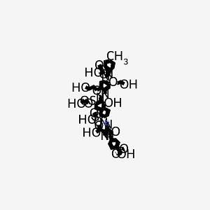 Cc1ccc(N=Nc2cc(OCCO)c(N=Nc3c(SOOO)cc4c(S(=O)(=O)O)c(/N=N/C5C(=O)N(c6ccc(S(=O)(=O)O)cc6)N=C5C(=O)O)ccc4c3O)cc2OCCO)c(S(=O)(=O)O)c1